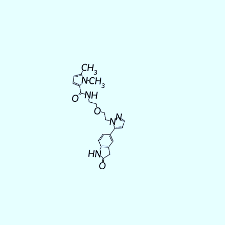 Cc1ccc(C(=O)NCCOCCn2nccc2-c2ccc3c(c2)CC(=O)N3)n1C